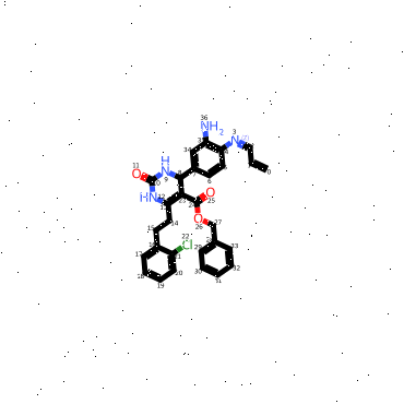 C=C/C=N\c1ccc(C2NC(=O)NC(CCc3ccccc3Cl)=C2C(=O)OCc2ccccc2)cc1N